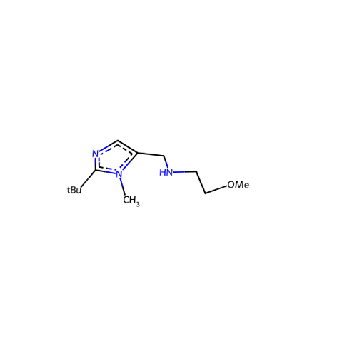 COCCNCc1cnc(C(C)(C)C)n1C